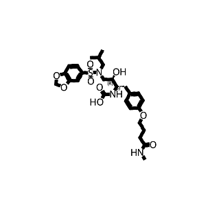 CNC(=O)CCCOc1ccc(C[C@H](NC(=O)O)[C@H](O)CN(CC(C)C)S(=O)(=O)c2ccc3c(c2)OCO3)cc1